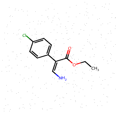 CCOC(=O)C(=CN)c1ccc(Cl)cc1